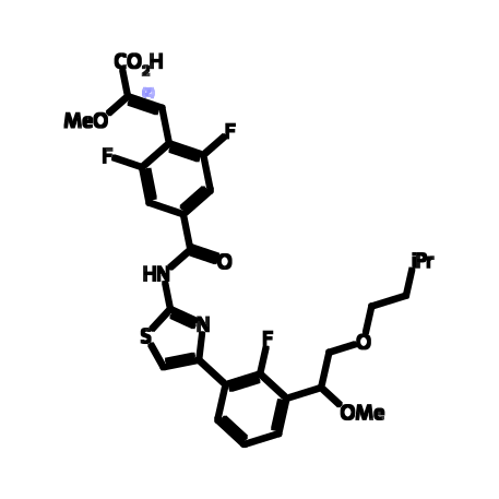 CO/C(=C\c1c(F)cc(C(=O)Nc2nc(-c3cccc(C(COCCC(C)C)OC)c3F)cs2)cc1F)C(=O)O